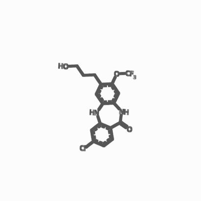 O=C1Nc2cc(OC(F)(F)F)c(CCCO)cc2Nc2cc(Cl)ccc21